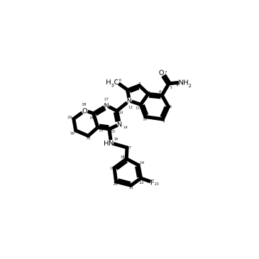 Cc1cc2c(C(N)=O)cccc2n1-c1nc(NCc2cccc(F)c2)c2c(n1)OCCC2